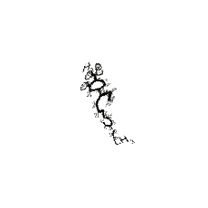 CCC[C@H]1CC[C@H]([C@H]2CC[C@H](C3CCC(C(=O)OC)C(=O)C3)CC2)CC1